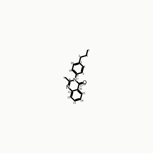 CCCc1ccc(-n2c(C)nc3ccccc3c2=O)cc1